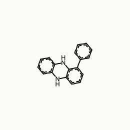 c1ccc(-c2cccc3c2Nc2ccccc2N3)cc1